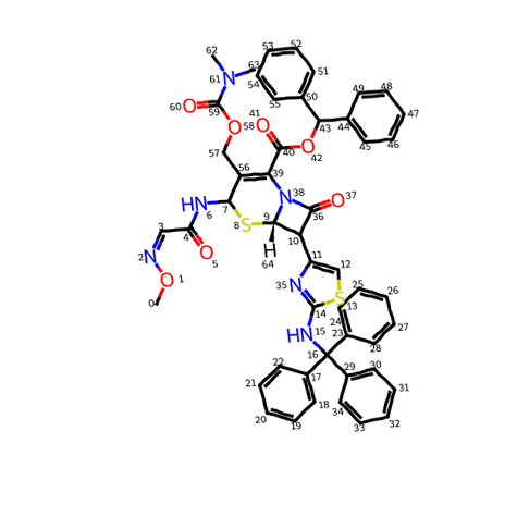 CO/N=C\C(=O)NC1S[C@H]2C(c3csc(NC(c4ccccc4)(c4ccccc4)c4ccccc4)n3)C(=O)N2C(C(=O)OC(c2ccccc2)c2ccccc2)=C1COC(=O)N(C)C